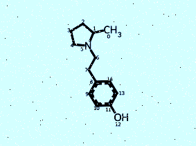 CC1CCCN1CCc1ccc(O)cc1